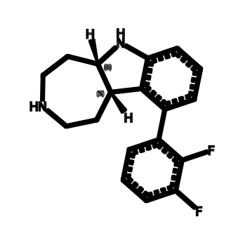 Fc1cccc(-c2cccc3c2[C@@H]2CCNCC[C@@H]2N3)c1F